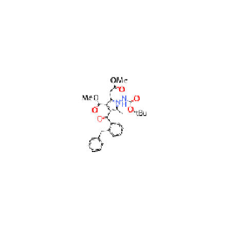 COC(=O)Cc1c(C(=O)OC)c(C(=O)c2ccccc2Cc2ccccc2)c(C)n1NC(=O)OC(C)(C)C